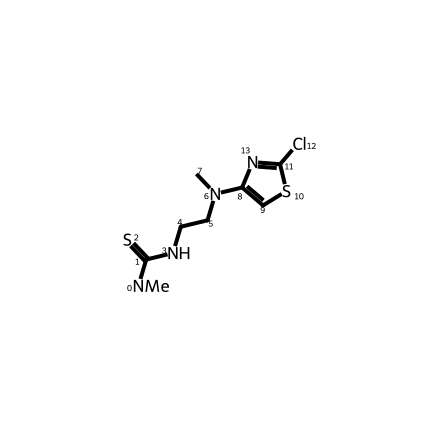 CNC(=S)NCCN(C)c1csc(Cl)n1